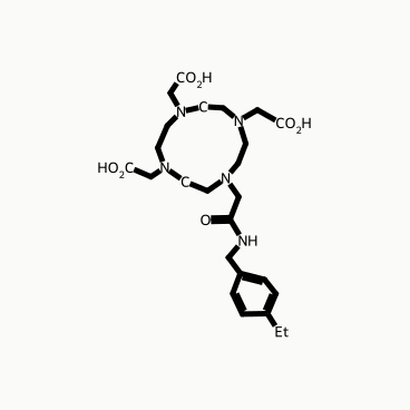 CCc1ccc(CNC(=O)CN2CCN(CC(=O)O)CCN(CC(=O)O)CCN(CC(=O)O)CC2)cc1